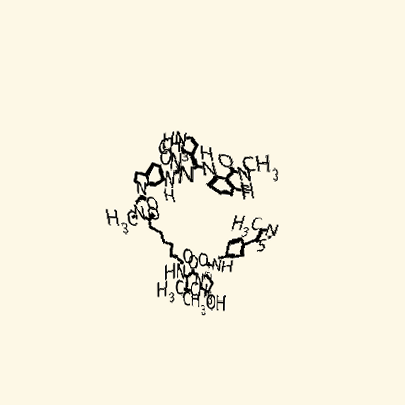 CNC(=O)c1c(F)cccc1Nc1nc(Nc2cc3c(cc2OC)CCN3C(=O)CN(C)C(=O)CCCCCC(=O)NC(C(=O)N2C[C@H](O)C[C@H]2C(=O)NCc2ccc(-c3scnc3C)cc2)C(C)(C)C)nc2[nH]ccc12